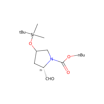 CCCCOC(=O)N1CC(O[Si](C)(C)C(C)(C)C)C[C@H]1C=O